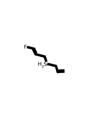 C=CC[SiH2]CC=CF